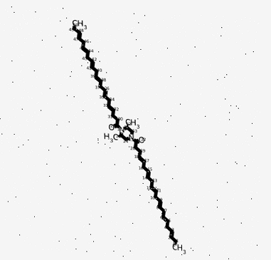 CCC=CCC=CCC=CCC=CCC=CCC=CCCC(=O)N1C[C@@H](C)N(C(=O)CCC=CCC=CCC=CCC=CCC=CCC=CCC)[C@@H](C)C1